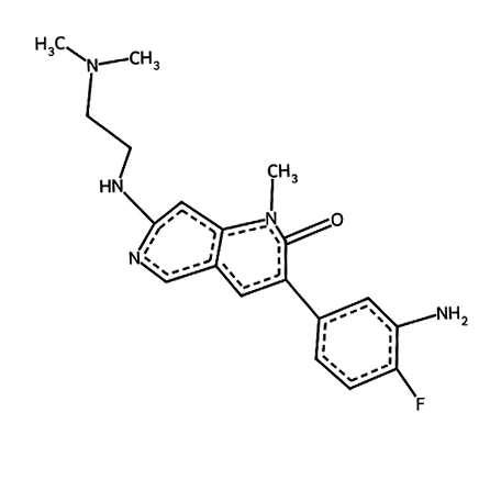 CN(C)CCNc1cc2c(cn1)cc(-c1ccc(F)c(N)c1)c(=O)n2C